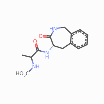 CC(NC(=O)O)C(=O)N[C@H]1Cc2ccccc2CNC1=O